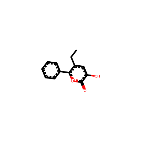 CCc1cc(O)c(=O)oc1-c1ccccc1